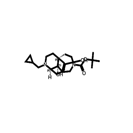 CC(C)(C)OC(=O)N1CC[C@]23CCN(CC4CC4)[C@H](Cc4ccc(O)cc42)[C@]3(O)CC1